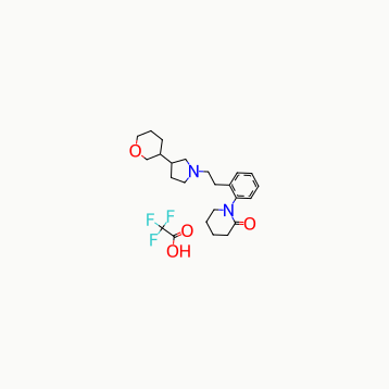 O=C(O)C(F)(F)F.O=C1CCCCN1c1ccccc1CCN1CCC(C2CCCOC2)C1